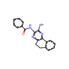 CCCc1nc2c(nc1NC(=O)c1ccccc1)CCc1ccccc1-2